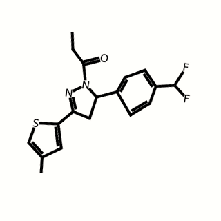 CCC(=O)N1N=C(c2cc(C)cs2)CC1c1ccc(C(F)F)cc1